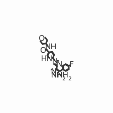 CN(N)/C(=C(\N)c1ccc(F)cc1)c1cn(C2C=CC(C(=O)NC3CCOCC3)=CN2)cn1